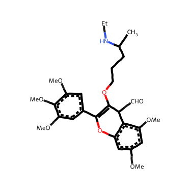 CCNC(C)CCCOC1=C(c2cc(OC)c(OC)c(OC)c2)Oc2cc(OC)cc(OC)c2C1C=O